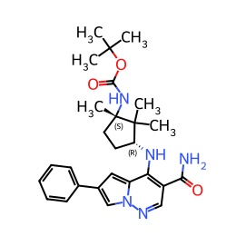 CC(C)(C)OC(=O)N[C@@]1(C)CC[C@@H](Nc2c(C(N)=O)cnn3cc(-c4ccccc4)cc23)C1(C)C